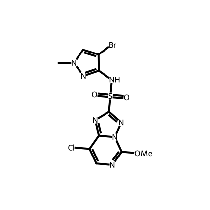 COc1ncc(Cl)c2nc(S(=O)(=O)Nc3nn(C)cc3Br)nn12